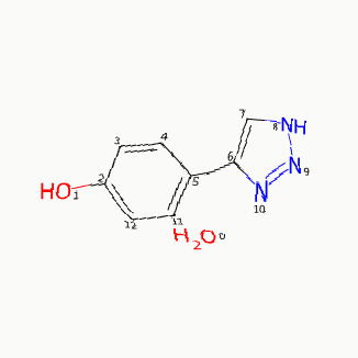 O.Oc1ccc(-c2c[nH]nn2)cc1